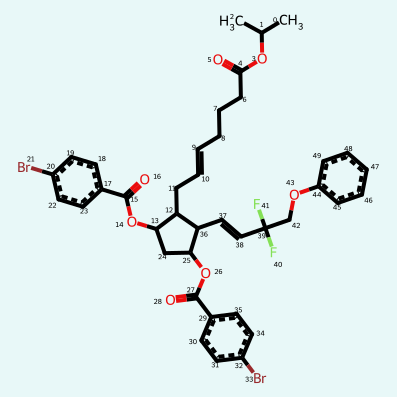 CC(C)OC(=O)CCCC=CCC1C(OC(=O)c2ccc(Br)cc2)CC(OC(=O)c2ccc(Br)cc2)C1C=CC(F)(F)COc1ccccc1